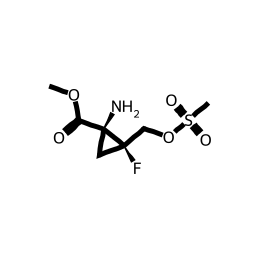 COC(=O)[C@@]1(N)C[C@@]1(F)COS(C)(=O)=O